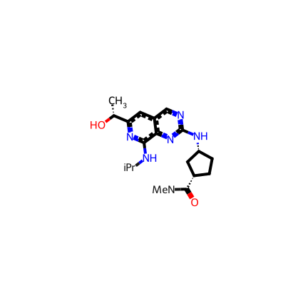 CNC(=O)[C@H]1CC[C@@H](Nc2ncc3cc([C@@H](C)O)nc(NC(C)C)c3n2)C1